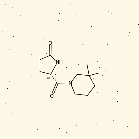 CC1(C)CCCN(C(=O)[C@@H]2CCC(=O)N2)C1